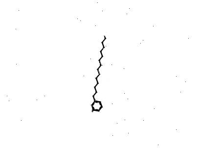 CCCCCCCCCCCCCCCc1cccc([O-])c1.[K+]